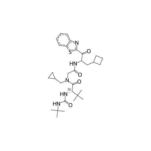 CC(C)(C)NC(=O)N[C@H](C(=O)N(CC(=O)NC(CC1CCC1)C(=O)c1nc2ccccc2s1)CC1CC1)C(C)(C)C